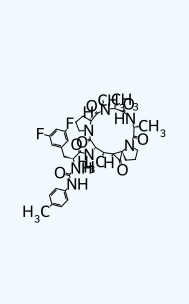 Cc1ccc(NC(=O)N[C@@H](Cc2cc(F)cc(F)c2)C(=O)N[C@@H]2C(=O)N3CCC[C@H]3C(=O)N(C)[C@@H](C)C(=O)N[C@@H](C)C(=O)N3CCC[C@]34C(=O)[C@@H]4[C@H]2C)cc1